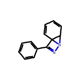 C1=CC2N3N=C(c4ccccc4)C23C=C1